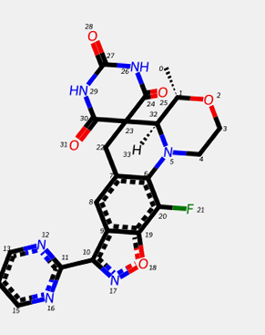 C[C@@H]1OCCN2c3c(cc4c(-c5ncccn5)noc4c3F)CC3(C(=O)NC(=O)NC3=O)[C@@H]12